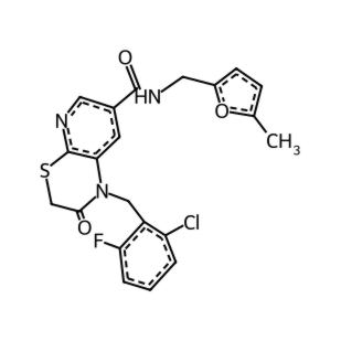 Cc1ccc(CNC(=O)c2cnc3c(c2)N(Cc2c(F)cccc2Cl)C(=O)CS3)o1